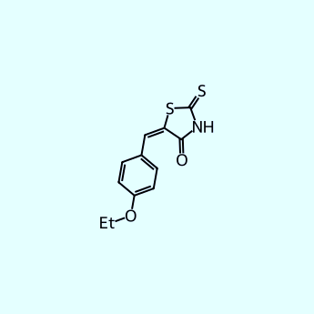 CCOc1ccc(C=C2SC(=S)NC2=O)cc1